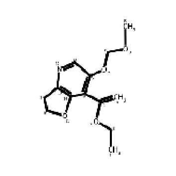 C=C(OCC)c1c(OCOC)cnc2c1OCC2